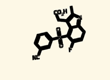 CC1=C(CC(=O)O)C2=C(S(=O)(=O)c3cccc(C#N)c3)C(F)=CCC2=N1